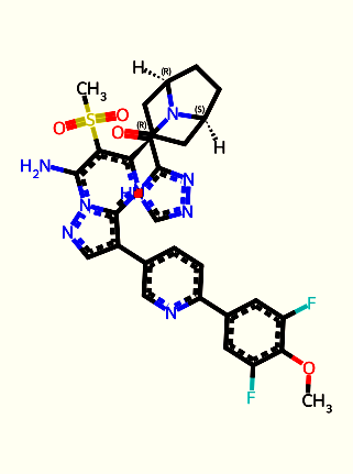 COc1c(F)cc(-c2ccc(-c3cnn4c(N)c(S(C)(=O)=O)c([C@H]5C[C@H]6CC[C@@H](C5)N6C(=O)c5nnc[nH]5)nc34)cn2)cc1F